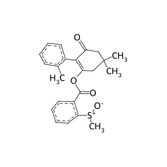 Cc1ccccc1C1=C(OC(=O)c2ccccc2[S+](C)[O-])CC(C)(C)CC1=O